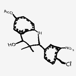 CC(=O)Oc1ccc2c(c1)C(O)C(C)(C)C(c1ccc(Cl)c([N+](=O)[O-])c1)N2